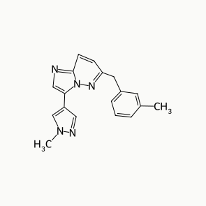 Cc1cccc(Cc2ccc3ncc(-c4cnn(C)c4)n3n2)c1